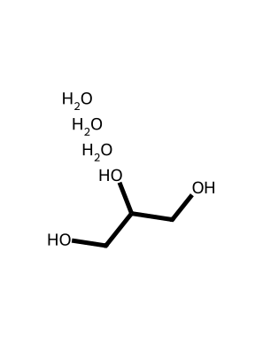 O.O.O.OCC(O)CO